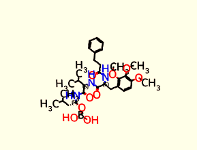 COc1ccc(C[C@H](NC(=O)CCc2ccccc2)C(=O)N[C@H](C(=O)N[C@@H](CC(C)C)OB(O)O)C(C)C)c(OC)c1OC